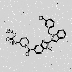 Cn1c(-c2cc3ccccc3n2Cc2cccc(Cl)c2)nc2cc(C(=O)N3CCCC(NC(=O)OC(C)(C)C)C3)ccc21